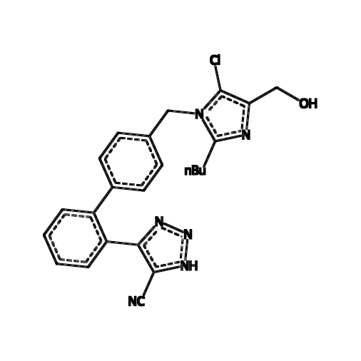 CCCCc1nc(CO)c(Cl)n1Cc1ccc(-c2ccccc2-c2nn[nH]c2C#N)cc1